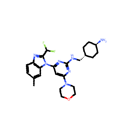 Cc1ccc2nc(C(F)F)n(-c3cc(N4CCOCC4)nc(NC[C@H]4CC[C@H](N)CC4)n3)c2c1